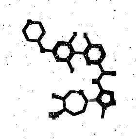 Cn1ncc(NC(=O)c2ccc(F)c(-c3c(F)cc(OC4CCOCC4)cc3F)n2)c1[C@@H]1CC[C@@H](N)[C@@H](F)CO1